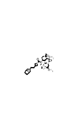 CO[C@@H]1[C@H](OC(=O)N2CC(CCN3CC4CCC(C3)O4)C2)CC[C@]2(CO2)[C@H]1[C@@]1(C)O[C@@H]1CC=C(C)C